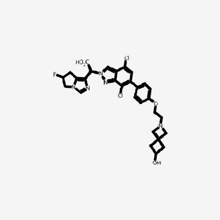 O=C(O)C(c1ncn2c1CC(F)C2)n1cc2c(Cl)cc(-c3ccc(OCCN4CC5(CC(O)C5)C4)cc3)c(Cl)c2n1